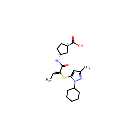 C/C=C(\Sc1cc(C)nn1C1CCCCC1)C(=O)N[C@@H]1CC[C@@H](C(=O)O)C1